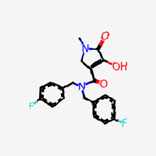 CN1CC(C(=O)N(Cc2ccc(F)cc2)Cc2ccc(F)cc2)=C(O)C1=O